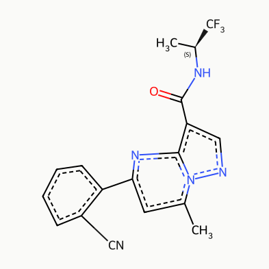 Cc1cc(-c2ccccc2C#N)nc2c(C(=O)N[C@@H](C)C(F)(F)F)cnn12